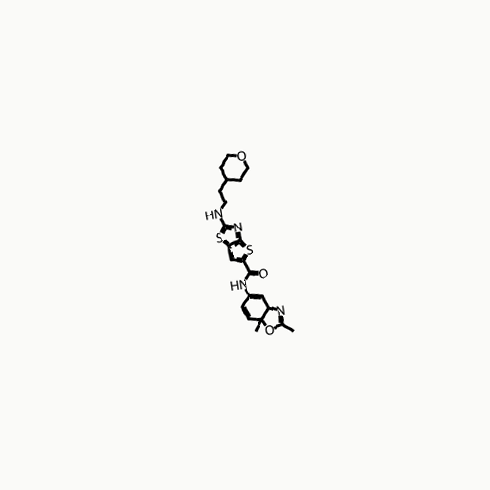 CC1=NC2C=C(NC(=O)c3cc4sc(NCCC5CCOCC5)nc4s3)C=CC2(C)O1